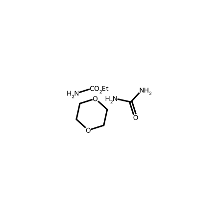 C1COCCO1.CCOC(N)=O.NC(N)=O